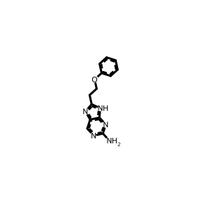 Nc1ncc2nc(CCOc3ccccc3)[nH]c2n1